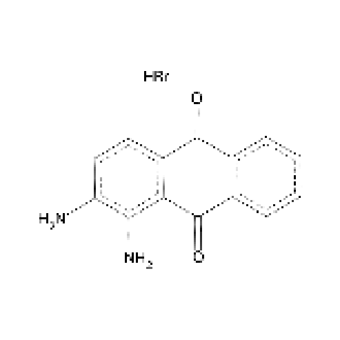 Br.Nc1ccc2c(c1N)C(=O)c1ccccc1C2=O